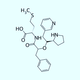 CSCC[C@H](NC(=O)C(Cc1ccccc1)OC(Cc1cccnc1)[C@@H]1CCCN1)C(=O)O